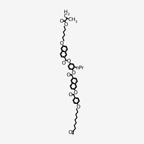 C=C(C)C(=O)OCCCCCCOc1ccc2cc(C(=O)Oc3ccc(OC(=O)c4ccc5cc(OC(=O)c6ccc(OCCCCCCCCC7CO7)cc6)ccc5c4)c(CCC)c3)ccc2c1